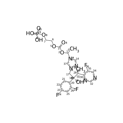 CC(OC(=O)OCCOP(=O)(O)O)[n+]1cnn(C[C@](O)(c2ccc(F)cc2F)[C@@H](C)c2ncncc2F)c1